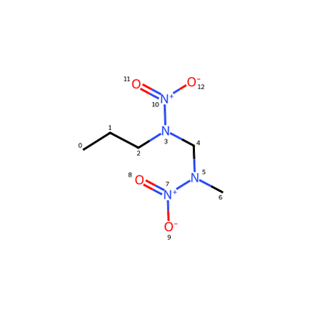 CCCN(CN(C)[N+](=O)[O-])[N+](=O)[O-]